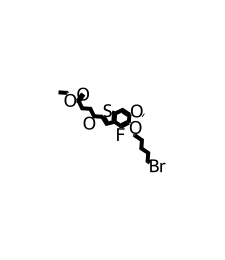 CCOC(=O)CCC(=O)c1cc2c(F)c(OCCCCCBr)c(OC)cc2s1